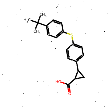 CC(C)(C)c1ccc(Sc2ccc(C3CC3C(=O)O)cc2)cc1